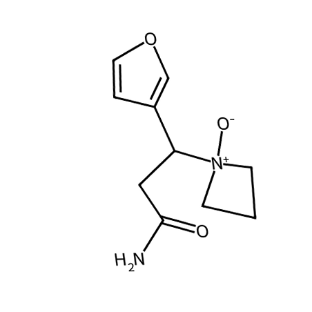 NC(=O)CC(c1ccoc1)[N+]1([O-])CCC1